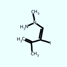 C=C(C)/C(I)=C\N(C)N